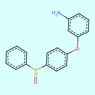 Nc1cccc(Oc2ccc([PH](=O)c3ccccc3)cc2)c1